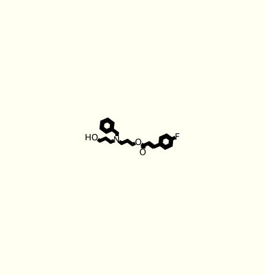 O=C(C=Cc1ccc(F)cc1)OCCCN(CCCO)Cc1ccccc1